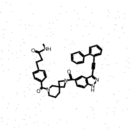 CNC(=O)CCc1ccc(C(=O)N2CCCC3(C2)CN(C(=O)c2ccc4[nH]nc(C#Cc5ccccc5-c5ccccc5)c4c2)C3)cc1